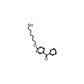 O=C(c1ccccc1)c1ccc(OCCCSCCS)nc1